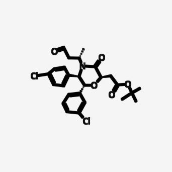 C[C@@H](CC=O)N1C(=O)[C@@H](CC(=O)OC(C)(C)C)O[C@H](c2cccc(Cl)c2)[C@H]1c1ccc(Cl)cc1